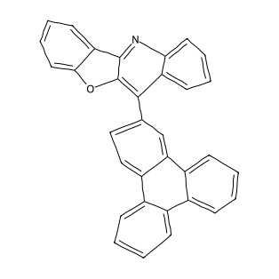 c1ccc2c(-c3ccc4c5ccccc5c5ccccc5c4c3)c3oc4ccccc4c3nc2c1